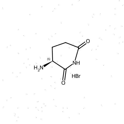 Br.N[C@H]1CCC(=O)NC1=O